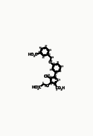 O=C(O)COc1c(C(=O)O)sc(-c2cccc(OCc3cccc(C(=O)O)c3)c2)c1Cl